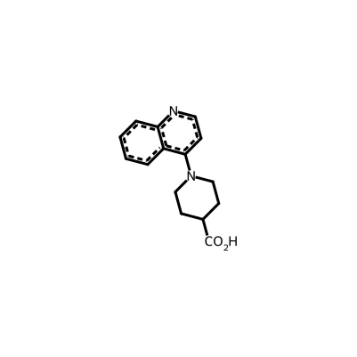 O=C(O)C1CCN(c2ccnc3ccccc23)CC1